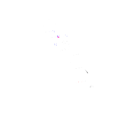 CC(C)C(=O)C[C@H]1CC[C@H](c2cnc(N3C4CCC3CN(C)C4)nc2)CC1